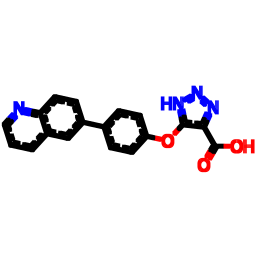 O=C(O)c1nn[nH]c1Oc1ccc(-c2ccc3ncccc3c2)cc1